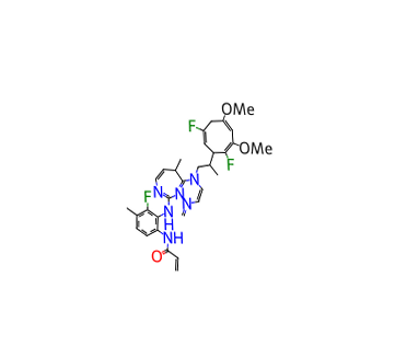 C=CC(=O)Nc1ccc(C)c(F)c1NC1=NC=CC(C)C(N(/C=C\N=C)CC(C)C2C=C(F)C/C(OC)=C\C(OC)=C/2F)=N1